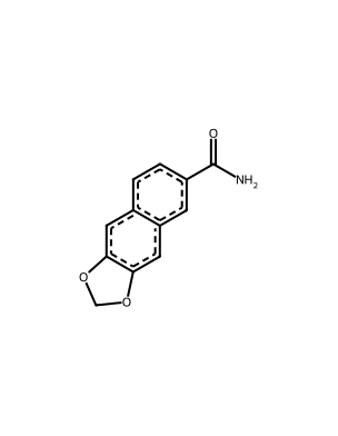 NC(=O)c1ccc2cc3c(cc2c1)OCO3